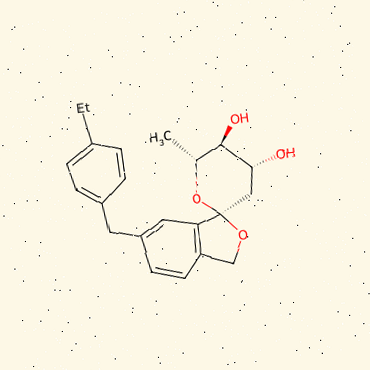 CCc1ccc(Cc2ccc3c(c2)[C@]2(C[C@@H](O)[C@H](O)[C@@H](C)O2)OC3)cc1